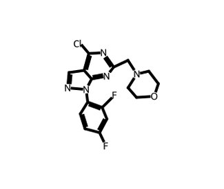 Fc1ccc(-n2ncc3c(Cl)nc(CN4CCOCC4)nc32)c(F)c1